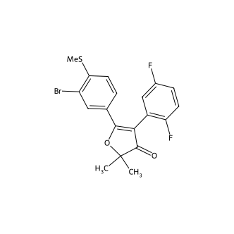 CSc1ccc(C2=C(c3cc(F)ccc3F)C(=O)C(C)(C)O2)cc1Br